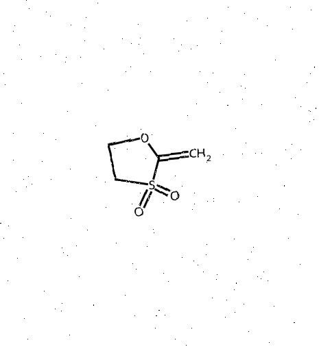 C=C1OCCS1(=O)=O